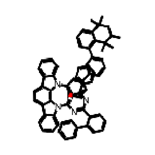 CC1CC(C)(C)c2cccc(-c3cccc(-c4cccc(-n5c6ccccc6c6ccc7c8ccccc8n(-c8nc(-c9ccccc9)nc(-c9ccccc9-c9ccccc9)n8)c7c65)c4)c3)c2C1(C)C